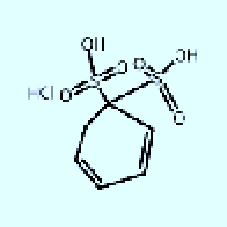 Cl.O=S(=O)(O)C1(S(=O)(=O)O)C=CC=CC1